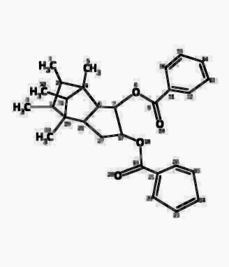 CC1C(C)C2(C)C3C(OC(=O)c4ccccc4)C(OC(=O)c4ccccc4)CC3C1(C)C2C